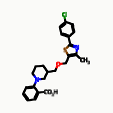 Cc1nc(-c2ccc(Cl)cc2)sc1COCC1CCCN(c2ccccc2C(=O)O)C1